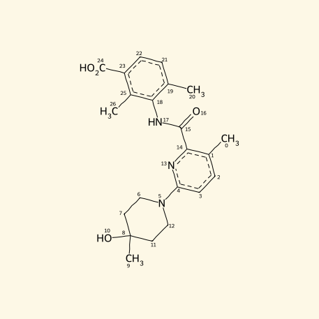 Cc1ccc(N2CCC(C)(O)CC2)nc1C(=O)Nc1c(C)ccc(C(=O)O)c1C